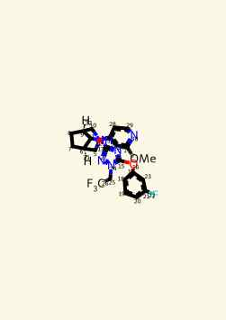 COc1cc(N2C[C@H]3CC[C@@H](C2)C3Nc2nc(Oc3cccc(F)c3)n(CC(F)(F)F)n2)ccn1